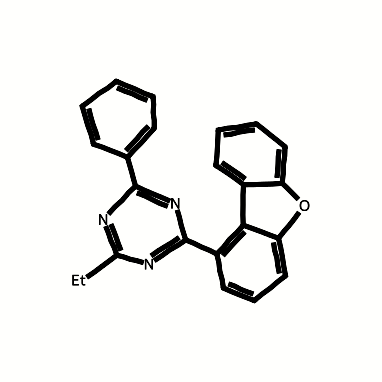 CCc1nc(-c2ccccc2)nc(-c2cccc3oc4ccccc4c23)n1